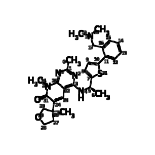 Cc1nc(N[C@H](C)c2ccc(-c3ccccc3CN(C)C)s2)c2cc(C3(C)CCOC3)c(=O)n(C)c2n1